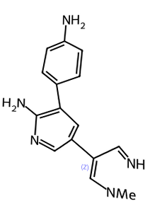 CN/C=C(\C=N)c1cnc(N)c(-c2ccc(N)cc2)c1